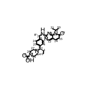 CC[C@H](c1ccc([C@H](C)Nc2ncc3ccc(=O)n(C(C)C)c3n2)cc1)N1CCN(C(=O)O)CC1